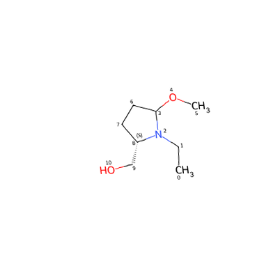 CCN1C(OC)CC[C@H]1CO